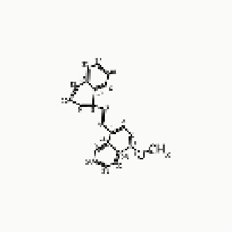 COc1ccc(C=Cc2cccc3ccccc23)c2ccccc12